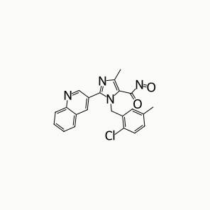 Cc1ccc(Cl)c(Cn2c(-c3cnc4ccccc4c3)nc(C)c2C(=O)N=O)c1